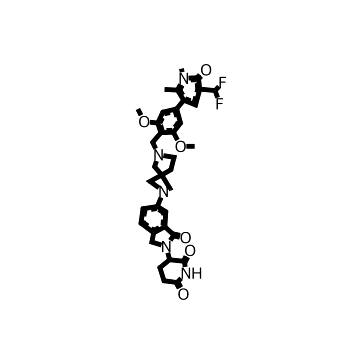 COc1cc(-c2cc(C(F)F)c(=O)n(C)c2C)cc(OC)c1CN1CCC2(C1)CN(c1ccc3c(c1)C(=O)N(C1CCC(=O)NC1=O)C3)C2